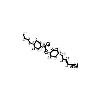 CCCC[C@H]1CC[C@H](C(=O)O[C@H]2CC[C@H](CCC=CC#N)CC2)CC1